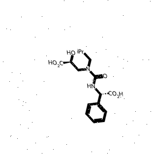 CC(C)CN(C[C@H](O)C(=O)O)C(=O)N[C@H](C(=O)O)c1ccccc1